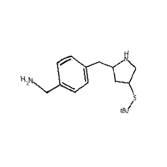 CC(C)(C)SC1CNC(Cc2ccc(CN)cc2)C1